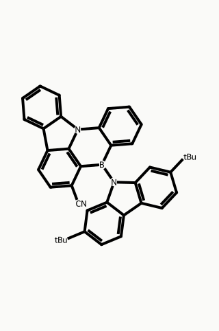 CC(C)(C)c1ccc2c3ccc(C(C)(C)C)cc3n(B3c4ccccc4-n4c5ccccc5c5ccc(C#N)c3c54)c2c1